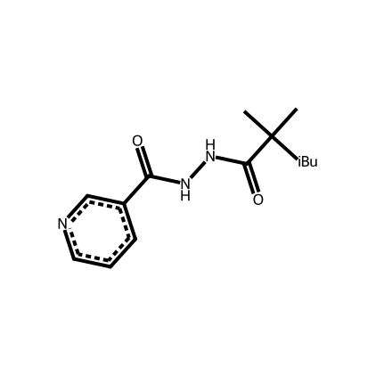 CCC(C)C(C)(C)C(=O)NNC(=O)c1cccnc1